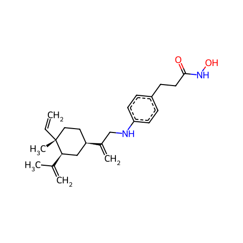 C=C[C@]1(C)CC[C@@H](C(=C)CNc2ccc(CCC(=O)NO)cc2)C[C@H]1C(=C)C